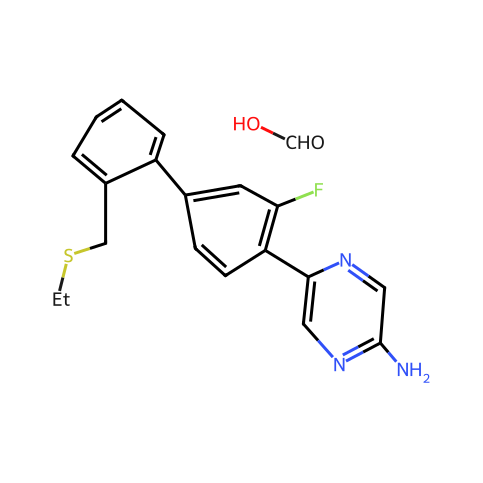 CCSCc1ccccc1-c1ccc(-c2cnc(N)cn2)c(F)c1.O=CO